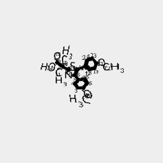 COc1ccc(-c2nc(C(C)(C)C(=O)O)sc2-c2ccc(OC)cc2)cc1